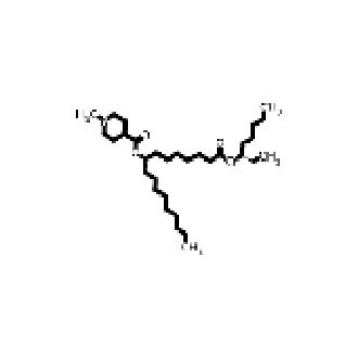 CCCCCCCCCC(CCCCCCC(=O)O[C@@H](CC)CCCCC)OC(=O)C1CCN(C)CC1